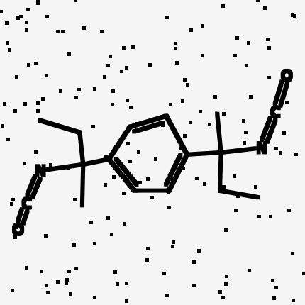 CCC(C)(N=C=O)c1ccc(C(C)(CC)N=C=O)cc1